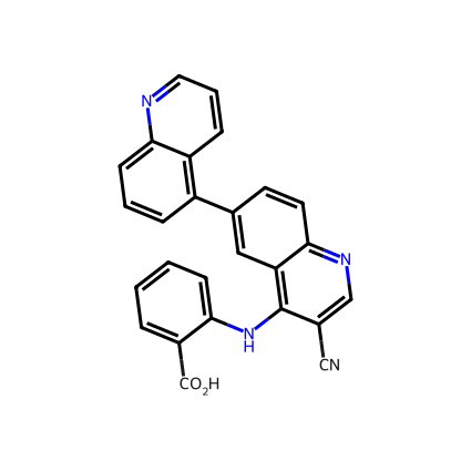 N#Cc1cnc2ccc(-c3cccc4ncccc34)cc2c1Nc1ccccc1C(=O)O